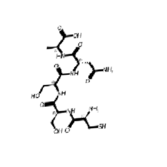 C[C@H](NC(=O)[C@H](CC(N)=O)NC(=O)[C@H](CO)NC(=O)[C@H](CO)NC(=O)[C@@H](N)CS)C(=O)O